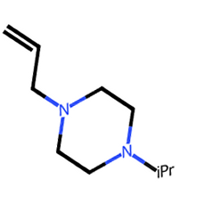 C=CCN1CCN(C(C)C)CC1